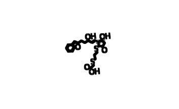 O=C(O)CSCCCSC1C(=O)C[C@@H](O)[C@@H]1C=CC(O)CCc1cc2ccccc2o1